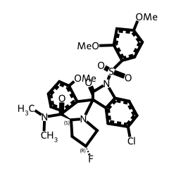 COc1ccc(S(=O)(=O)N2C(=O)C(c3ccccc3OC)(N3C[C@H](F)C[C@H]3C(=O)N(C)C)c3cc(Cl)ccc32)c(OC)c1